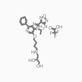 CCn1c(-c2nonc2N)nc2c(-c3ccccc3)ncc(OCCCCNCC(O)CO)c21.O=C(O)C(F)(F)F